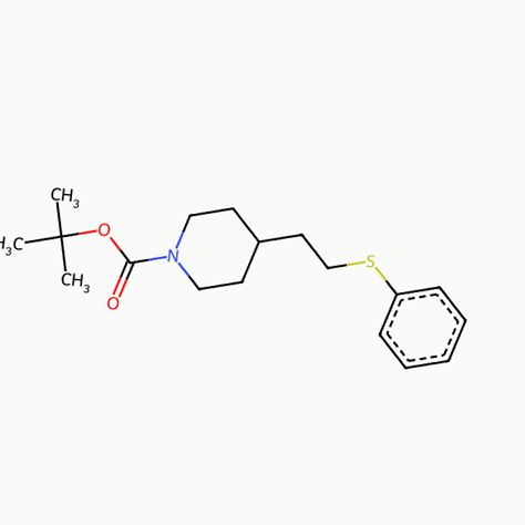 CC(C)(C)OC(=O)N1CCC(CCSc2ccccc2)CC1